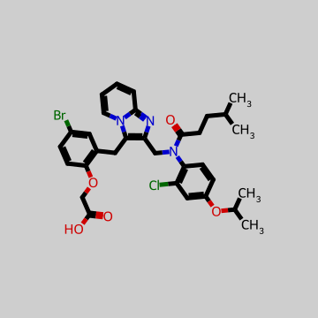 CC(C)CCC(=O)N(Cc1nc2ccccn2c1Cc1cc(Br)ccc1OCC(=O)O)c1ccc(OC(C)C)cc1Cl